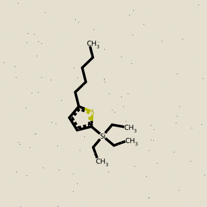 CCCCCc1ccc([Si](CC)(CC)CC)s1